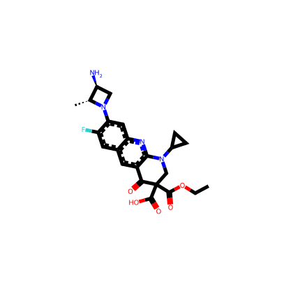 CCOC(=O)C1(C(=O)O)CN(C2CC2)c2nc3cc(N4C[C@H](N)[C@H]4C)c(F)cc3cc2C1=O